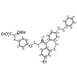 CCOC(=O)C(Cc1ccc(OCCN(C)C2c3ccc(CC)cc3CCc3cc(CCc4ccccc4)ccc32)cc1)OC